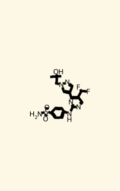 CC(C)(O)Cn1cc(-c2nc(Nc3ccc(S(N)(=O)=O)cc3)ncc2C(F)F)cn1